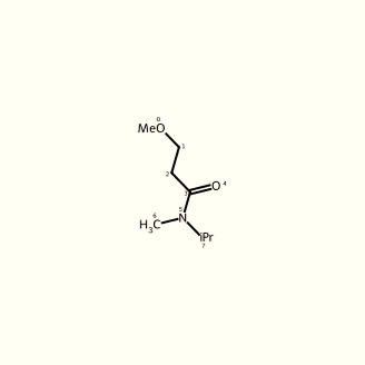 COCCC(=O)N(C)C(C)C